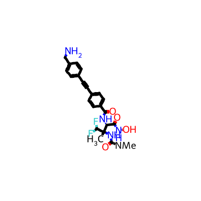 CNC(=O)NC(C)(C(F)F)[C@H](NC(=O)c1ccc(C#Cc2ccc(CN)cc2)cc1)C(=O)NO